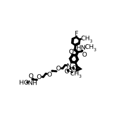 CNC(=O)c1c(C2=CC(C)C(F)C=C2)oc2cc(N(CCOCCOCCOCC(=O)NO)S(C)(=O)=O)c(C3CC3)cc12